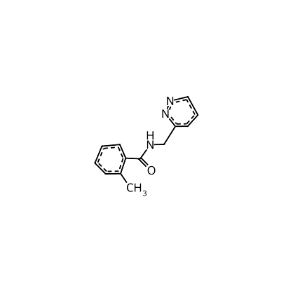 Cc1ccccc1C(=O)NCc1cccnn1